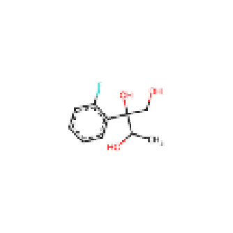 CC(O)C(O)(CO)c1ccccc1F